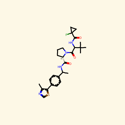 Cc1ncsc1-c1ccc(C(C)NC(=O)[C@@H]2CCCN2C(=O)C(NC(=O)C2(F)CC2)C(C)(C)C)cc1